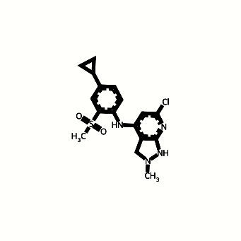 CN1Cc2c(Nc3ccc(C4CC4)cc3S(C)(=O)=O)cc(Cl)nc2N1